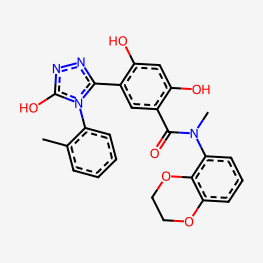 Cc1ccccc1-n1c(O)nnc1-c1cc(C(=O)N(C)c2cccc3c2OCCO3)c(O)cc1O